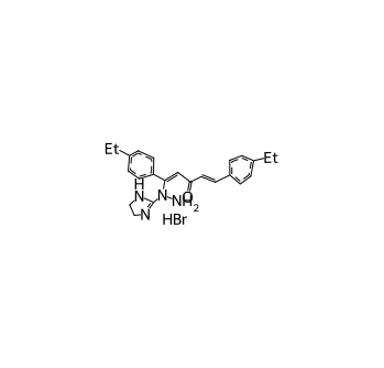 Br.CCc1ccc(C=CC(=O)C=C(c2ccc(CC)cc2)N(N)C2=NCCN2)cc1